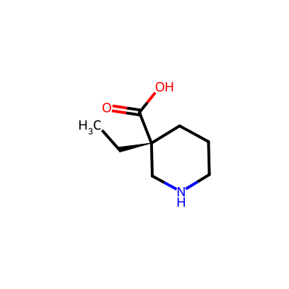 CC[C@@]1(C(=O)O)CCCNC1